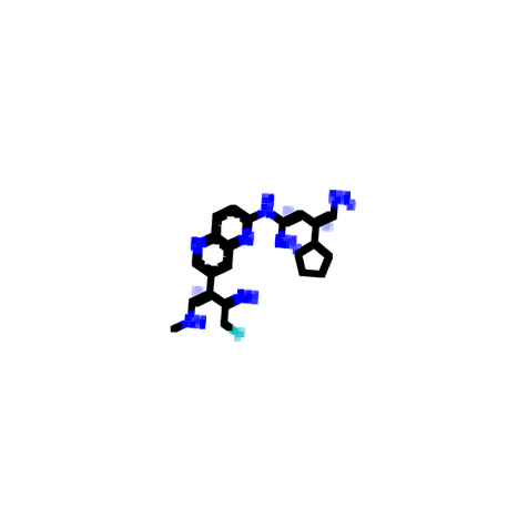 CN/C=C(\C(=N)CF)c1cnc2ccc(N/C(N)=C/C(=C\N)C3CCCC3)nc2c1